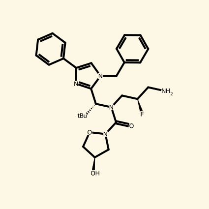 CC(C)(C)[C@H](c1nc(-c2ccccc2)cn1Cc1ccccc1)N(C[C@H](F)CN)C(=O)N1C[C@@H](O)CO1